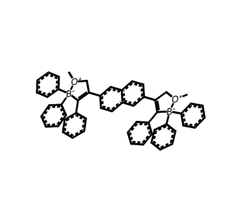 C[O+]1CC(c2ccc3cc(C4=C(c5ccccc5)[B-](c5ccccc5)(c5ccccc5)[O+](C)C4)ccc3c2)=C(c2ccccc2)[B-]1(c1ccccc1)c1ccccc1